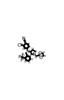 N#Cc1ccc(N(Cc2ccccc2C(F)(F)F)C2CCN(CC3OCCO3)C2)cc1Cl